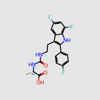 C[C@H](NC(=O)NCCc1c(-c2ccc(F)cc2)[nH]c2c(F)cc(F)cc12)C(=O)O